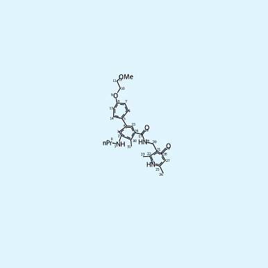 CCCNc1cc(-c2ccc(OCCOC)cc2)cc(C(=O)NCc2c(C)[nH]c(C)cc2=O)c1C